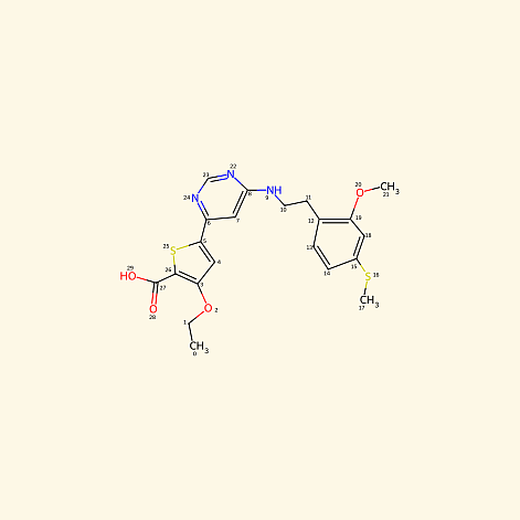 CCOc1cc(-c2cc(NCCc3ccc(SC)cc3OC)ncn2)sc1C(=O)O